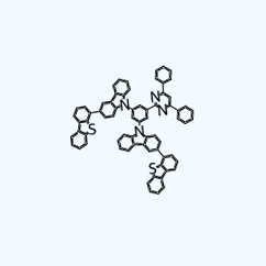 c1ccc(-c2cc(-c3ccccc3)nc(-c3cc(-n4c5ccccc5c5cc(-c6cccc7c6sc6ccccc67)ccc54)cc(-n4c5ccccc5c5cc(-c6cccc7c6sc6ccccc67)ccc54)c3)n2)cc1